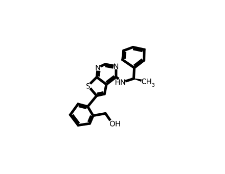 C[C@@H](Nc1ncnc2sc(-c3ccccc3CO)cc12)c1ccccc1